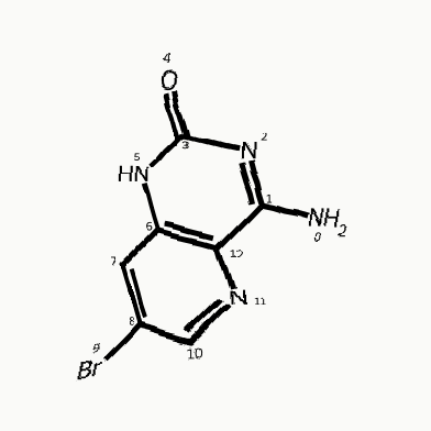 Nc1nc(=O)[nH]c2cc(Br)cnc12